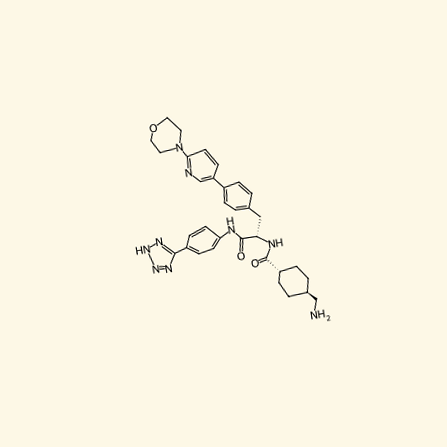 NC[C@H]1CC[C@H](C(=O)N[C@@H](Cc2ccc(-c3ccc(N4CCOCC4)nc3)cc2)C(=O)Nc2ccc(-c3nn[nH]n3)cc2)CC1